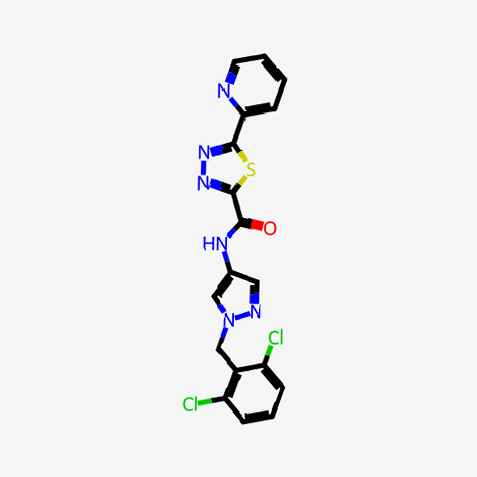 O=C(Nc1cnn(Cc2c(Cl)cccc2Cl)c1)c1nnc(-c2ccccn2)s1